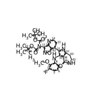 COc1c(F)cccc1Nc1c(-c2ccnc3c(N(C(=O)OC(C)(C)C)C(=O)OC(C)(C)C)noc23)[nH]c2c1C(=O)NCC2